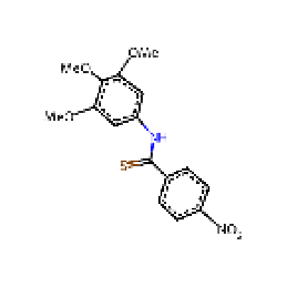 COc1cc(NC(=S)c2ccc([N+](=O)[O-])cc2)cc(OC)c1OC